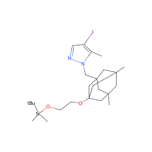 Cc1c(I)cnn1CC12CC3(C)CC(C)(C1)CC(OCCO[Si](C)(C)C(C)(C)C)(C3)C2